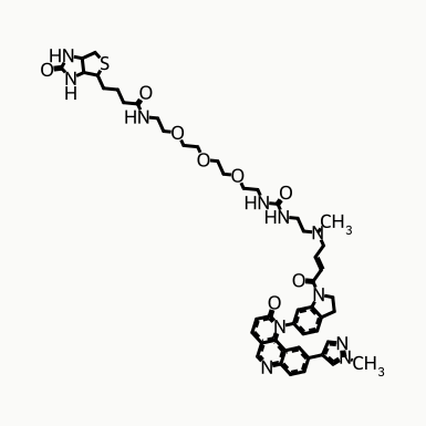 CN(C/C=C/C(=O)N1CCc2ccc(-n3c(=O)ccc4cnc5ccc(-c6cnn(C)c6)cc5c43)cc21)CCNC(=O)NCCOCCOCCOCCNC(=O)CCCC1SCC2NC(=O)NC21